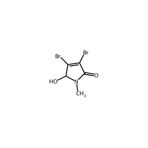 CN1C(=O)C(Br)=C(Br)C1O